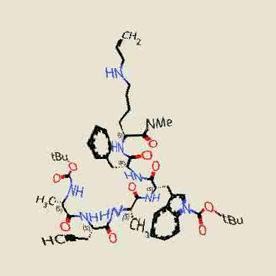 C#CC[C@H](NC(=O)[C@H](C)NC(=O)OC(C)(C)C)C(=O)N[C@@H](C)C(=O)N[C@@H](Cc1cn(C(=O)OC(C)(C)C)c2ccccc12)C(=O)N[C@H](Cc1ccccc1)C(=O)N[C@@H](CCCCNCC=C)C(=O)NC